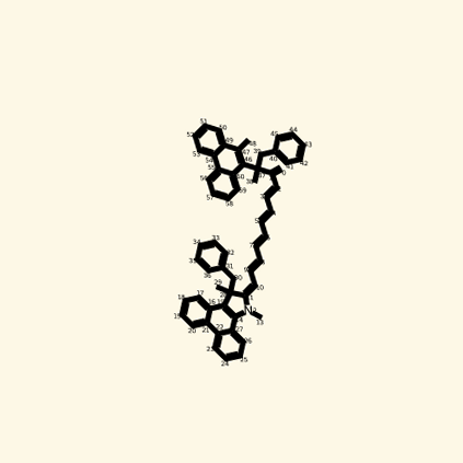 C=C(/C=C/C=C/C=C/C=C/C=C1/N(C)c2c(c3ccccc3c3ccccc23)C1(C)Cc1ccccc1)C(C)(Cc1ccccc1)c1c(C)c2ccccc2c2ccccc12